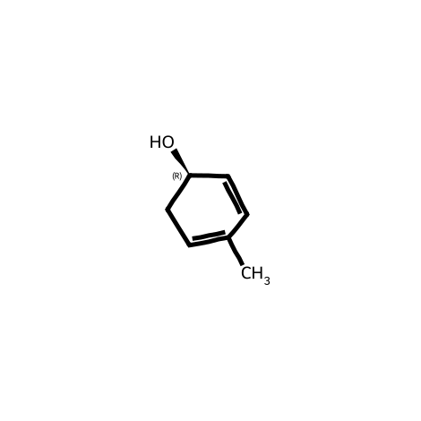 CC1=CC[C@@H](O)C=C1